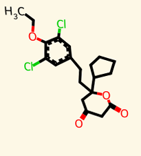 CCOc1c(Cl)cc(CCC2(C3CCCC3)CC(=O)CC(=O)O2)cc1Cl